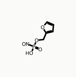 O=NP(=O)(O)OCc1ccco1